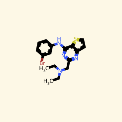 CCN(CC)Cc1nc(Nc2cccc(Br)c2)c2sccc2n1